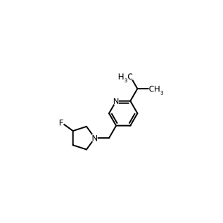 CC(C)c1ccc(CN2CCC(F)C2)cn1